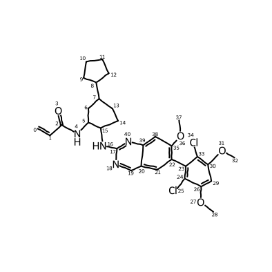 C=CC(=O)NC1CC(C2CCCC2)CCC1Nc1ncc2cc(-c3c(Cl)c(OC)cc(OC)c3Cl)c(OC)cc2n1